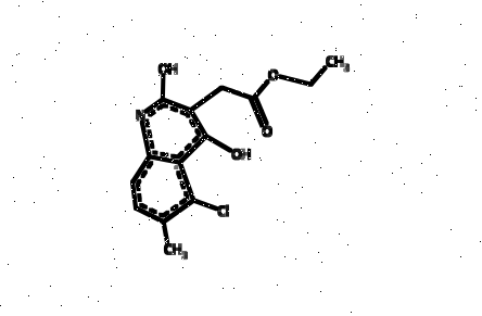 CCOC(=O)Cc1c(O)nc2ccc(C)c(Cl)c2c1O